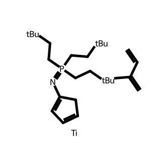 C=CC(=C)C.CC(C)(C)CCP(CCC(C)(C)C)(CCC(C)(C)C)=NC1=CC=CC1.[Ti]